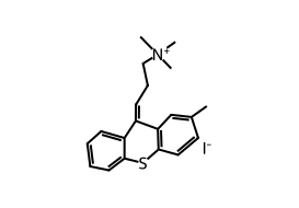 Cc1ccc2c(c1)/C(=C\CC[N+](C)(C)C)c1ccccc1S2.[I-]